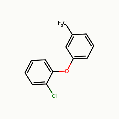 FC(F)(F)c1cccc(Oc2ccccc2Cl)c1